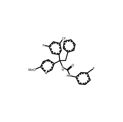 COc1ccc(C(Cc2ccccc2)(NC(=O)Nc2cccc(F)c2)c2cc(F)cc(C(F)(F)F)c2)cn1